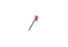 C=C(C)C(=O)OC(CCCCCCCCCCCCCCCCCC)CN(C)C